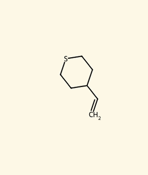 C=CC1CCSCC1